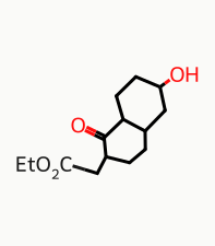 CCOC(=O)CC1CCC2CC(O)CCC2C1=O